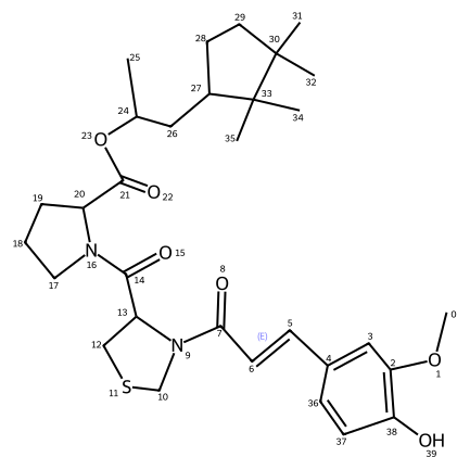 COc1cc(/C=C/C(=O)N2CSCC2C(=O)N2CCCC2C(=O)OC(C)CC2CCC(C)(C)C2(C)C)ccc1O